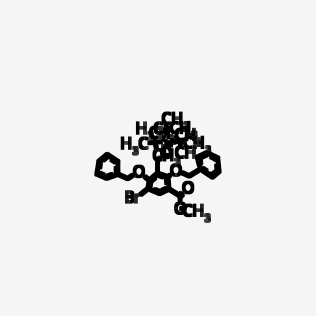 COC(=O)c1cc(Br)c(OCc2ccccc2)c(CO[Si](C(C)(C)C)(C(C)(C)C)C(C)(C)C)c1OCc1ccccc1